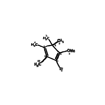 CCC1=C(OC)C(C)(C)C(C)=C1C